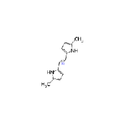 Cc1ccc(/C=C/c2ccc(C)[nH]2)[nH]1